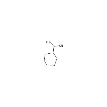 N#CC(N)C1CCCCC1